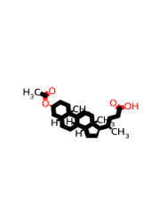 CC(=O)O[C@@H]1CC[C@]2(C)C3=CC[C@]4(C)[C@@H]([C@H](C)CCC(=O)O)CC[C@H]4[C@@H]3CC[C@@H]2C1